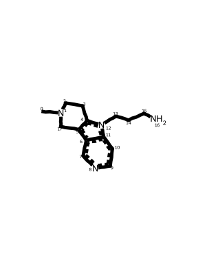 CN1CCc2c(c3cnccc3n2CCCN)C1